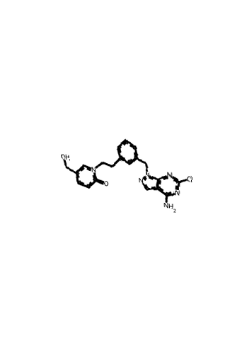 Nc1nc(Cl)nc2c1cnn2Cc1cccc(CCn2cc(CO)ccc2=O)c1